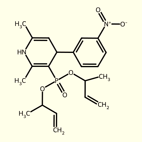 C=CC(C)OP(=O)(OC(C)C=C)C1=C(C)NC(C)=CC1c1cccc([N+](=O)[O-])c1